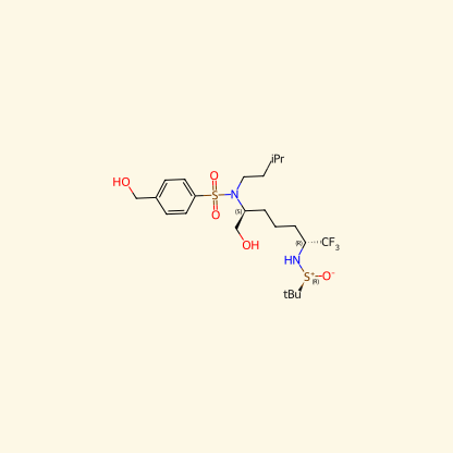 CC(C)CCN([C@H](CO)CCC[C@@H](N[S@@+]([O-])C(C)(C)C)C(F)(F)F)S(=O)(=O)c1ccc(CO)cc1